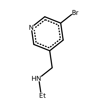 CCNCc1cncc(Br)c1